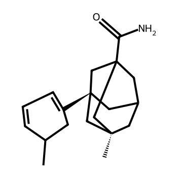 CC1C=CC=C([C@@]23CC4CC(C(N)=O)(C[C@@](C)(C4)C2)C3)C1